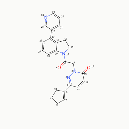 O=C(Cn1nc(C2=CCCC2)ccc1=O)N1CCc2c(-c3cccnc3)cccc21